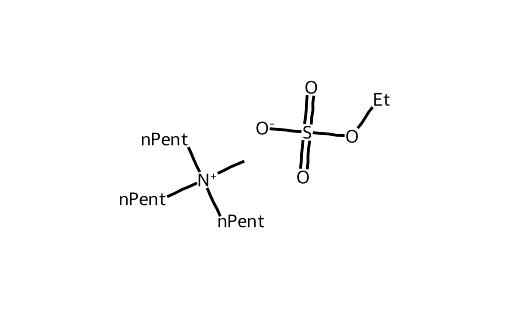 CCCCC[N+](C)(CCCCC)CCCCC.CCOS(=O)(=O)[O-]